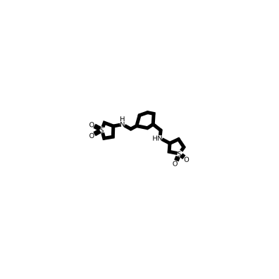 O=S1(=O)CCC(NCC2CCCC(CNC3CCS(=O)(=O)C3)C2)C1